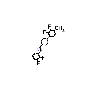 Cc1ccc(C2CCC(/C=C/c3cccc(F)c3F)CC2)c(F)c1F